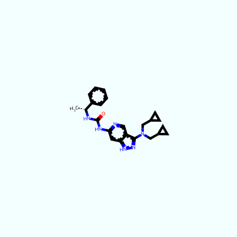 C[C@@H](NC(=O)Nc1cc2[nH]nc(N(CC3CC3)CC3CC3)c2cn1)c1ccccc1